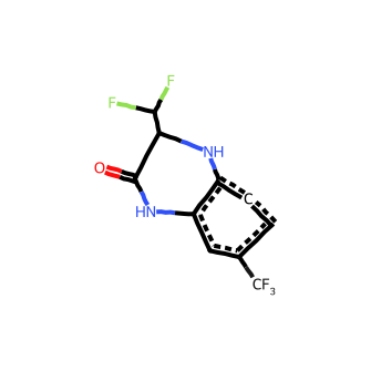 O=C1Nc2cc(C(F)(F)F)ccc2NC1C(F)F